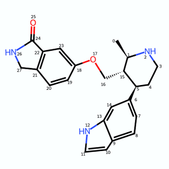 C[C@H]1NCC[C@@H](c2ccc3cc[nH]c3c2)[C@@H]1COc1ccc2c(c1)C(=O)NC2